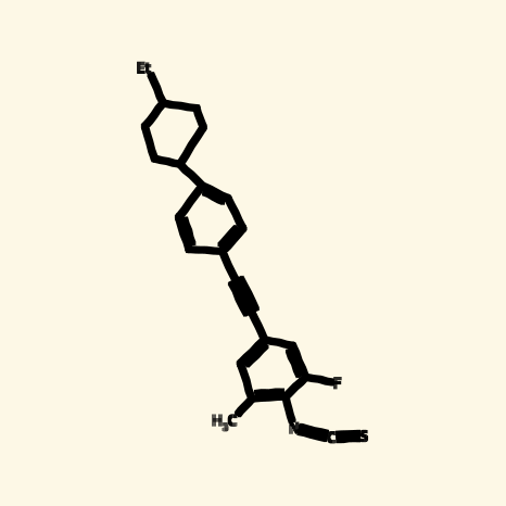 CCC1CCC(c2ccc(C#Cc3cc(C)c(N=C=S)c(F)c3)cc2)CC1